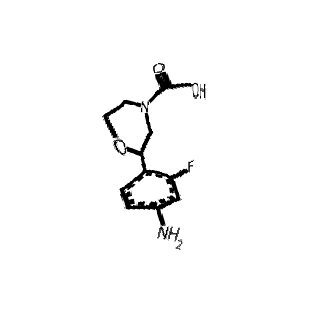 Nc1ccc(C2CN(C(=O)O)CCO2)c(F)c1